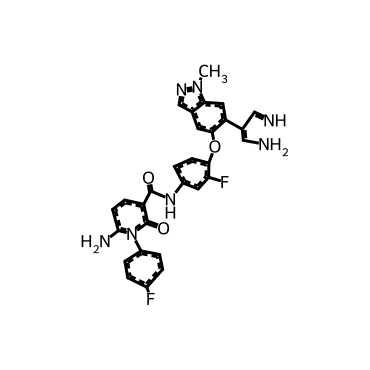 Cn1ncc2cc(Oc3ccc(NC(=O)c4ccc(N)n(-c5ccc(F)cc5)c4=O)cc3F)c(/C(C=N)=C/N)cc21